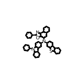 c1ccc(-c2nc3c(o2)c(N(c2ccc4c(c2)sc2ccccc24)c2ccc4c(c2)c2ccccc2n4-c2ccccc2)cc2ccccc23)cc1